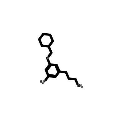 NCCCc1cc(P)cc(OCC2CCCCC2)c1